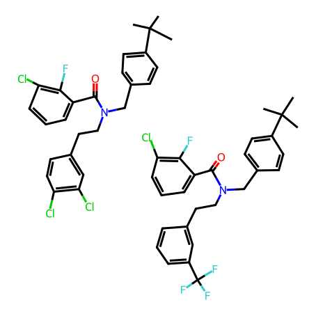 CC(C)(C)c1ccc(CN(CCc2ccc(Cl)c(Cl)c2)C(=O)c2cccc(Cl)c2F)cc1.CC(C)(C)c1ccc(CN(CCc2cccc(C(F)(F)F)c2)C(=O)c2cccc(Cl)c2F)cc1